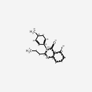 CCCc1nc2cccc(F)c2c(=O)n1C1=CCC(C)C=C1